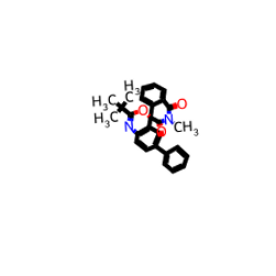 CN1C(=O)c2ccccc2C2(OC(C(C)(C)C)=Nc3ccc(-c4ccccc4)cc32)C1=O